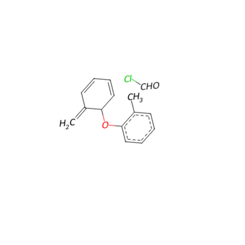 C=C1C=CC=CC1Oc1ccccc1C.O=CCl